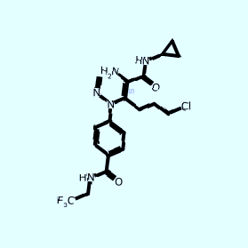 C=NN(/C(CCCCl)=C(\N)C(=O)NC1CC1)c1ccc(C(=O)NCC(F)(F)F)cc1